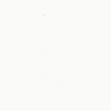 COC(=O)C1=C(c2ccc(CCCO[Si](C)(C)C(C)(C)C)cc2)CC2COCC1N2C